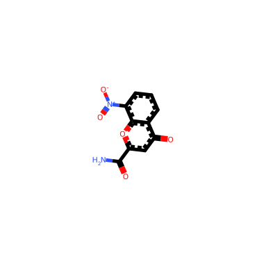 NC(=O)c1cc(=O)c2cccc([N+](=O)[O-])c2o1